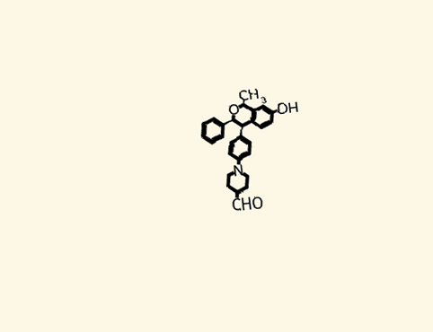 C[C@H]1O[C@H](c2ccccc2)[C@H](c2ccc(N3CCC(C=O)CC3)cc2)c2ccc(O)cc21